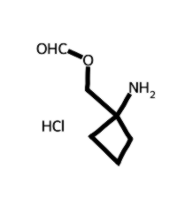 Cl.NC1(COC=O)CCC1